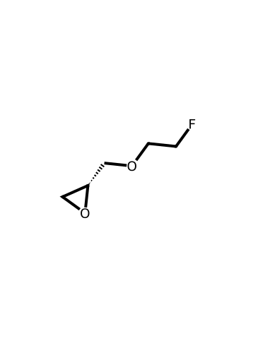 FCCOC[C@H]1CO1